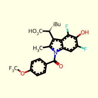 CC[C@@H](C)C(C(=O)O)c1c(C)n(C(=O)c2ccc(OC(F)(F)F)cc2)c2cc(F)c(O)c(F)c12